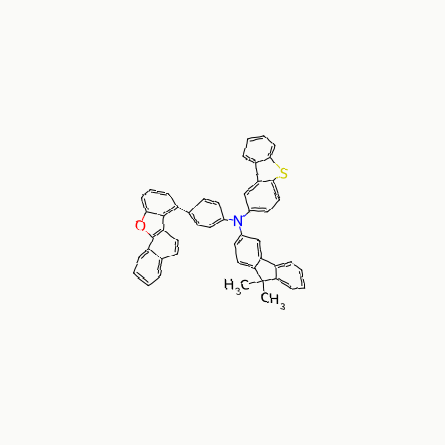 CC1(C)c2ccccc2-c2cc(N(c3ccc(-c4cccc5oc6c7ccccc7ccc6c45)cc3)c3ccc4sc5ccccc5c4c3)ccc21